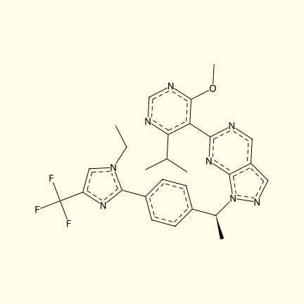 CCn1cc(C(F)(F)F)nc1-c1ccc([C@H](C)n2ncc3cnc(-c4c(OC)ncnc4C(C)C)nc32)cc1